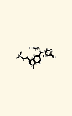 CC(C)O.CN(C)CCc1c[nH]c2ccc(C[C@H]3COC(=O)N3)cc12